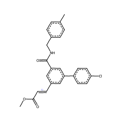 COC(=O)/C=C/c1cc(C(=O)NCc2ccc(C)cc2)cc(-c2ccc(Cl)cc2)c1